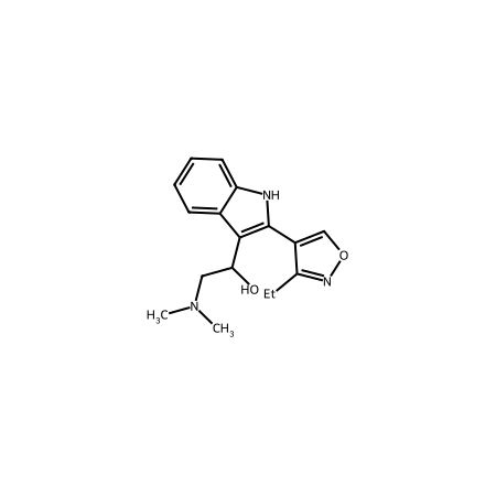 CCc1nocc1-c1[nH]c2ccccc2c1C(O)CN(C)C